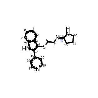 c1ccc2c(SCC/N=C3\CCCN3)c(-c3ccncc3)[nH]c2c1